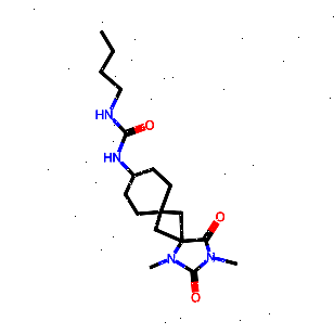 CCCCNC(=O)NC1CCC2(CC1)CC1(C2)C(=O)N(C)C(=O)N1C